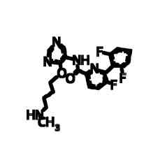 CNCCCCOc1ncncc1NC(=O)c1ccc(F)c(-c2c(F)cccc2F)n1